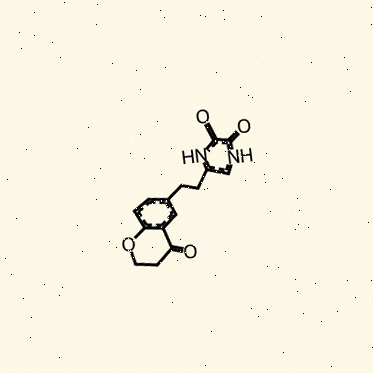 O=C1CCOc2ccc(CCc3c[nH]c(=O)c(=O)[nH]3)cc21